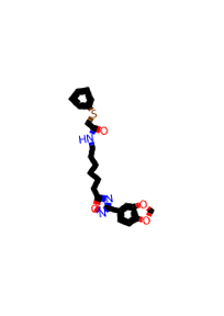 O=C(CSc1ccccc1)NCCCCCCc1nc(-c2ccc3c(c2)OCO3)no1